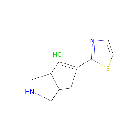 C1=C(c2nccs2)CC2CNCC12.Cl